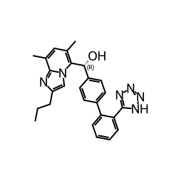 CCCc1cn2c([C@H](O)c3ccc(-c4ccccc4-c4nnn[nH]4)cc3)c(C)cc(C)c2n1